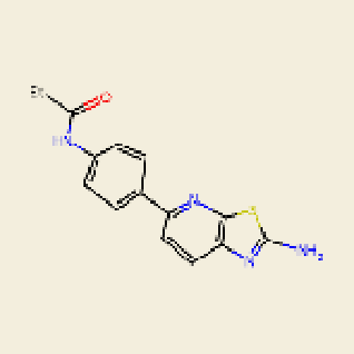 CCC(=O)Nc1ccc(-c2ccc3nc(N)sc3n2)cc1